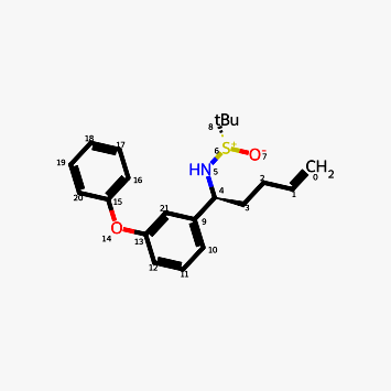 C=CCC[C@H](N[S@@+]([O-])C(C)(C)C)c1cccc(Oc2ccccc2)c1